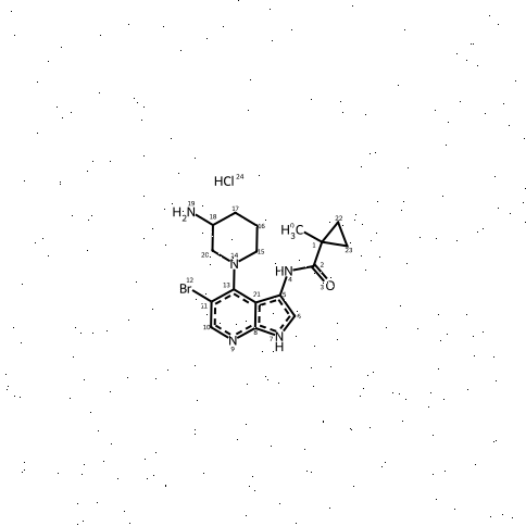 CC1(C(=O)Nc2c[nH]c3ncc(Br)c(N4CCCC(N)C4)c23)CC1.Cl